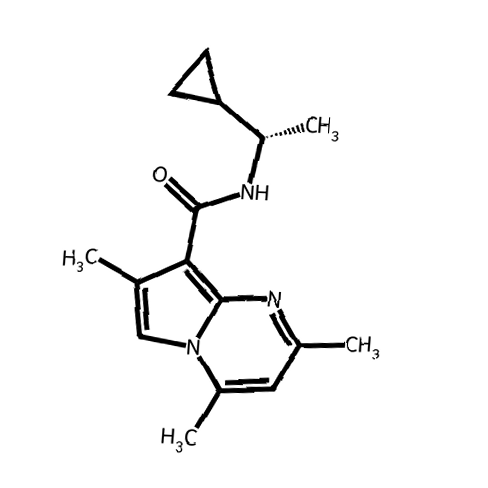 Cc1cc(C)n2cc(C)c(C(=O)N[C@@H](C)C3CC3)c2n1